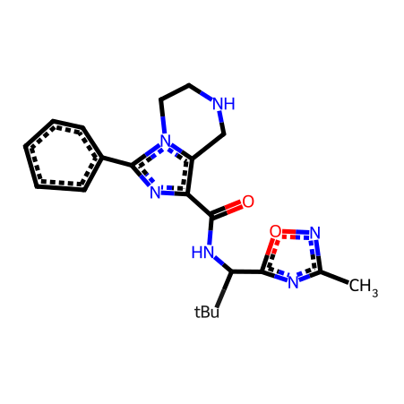 Cc1noc(C(NC(=O)c2nc(-c3ccccc3)n3c2CNCC3)C(C)(C)C)n1